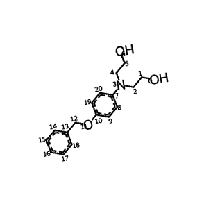 OCCN(CCO)c1ccc(OCc2ccccc2)cc1